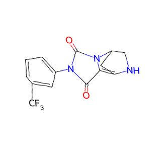 O=C1C2=C3CC(CN3)N2C(=O)N1c1cccc(C(F)(F)F)c1